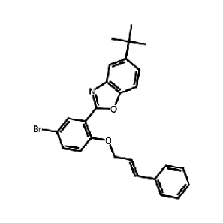 CC(C)(C)c1ccc2oc(-c3cc(Br)ccc3OCC=Cc3ccccc3)nc2c1